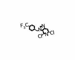 FC(F)(F)c1ccc(Cn2cnc3cc(Cl)nc(Cl)c32)cc1